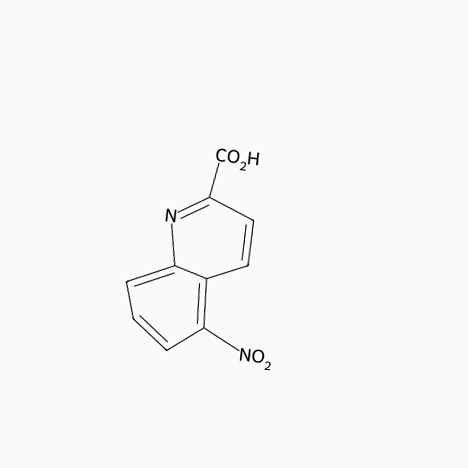 O=C(O)c1ccc2c([N+](=O)[O-])cccc2n1